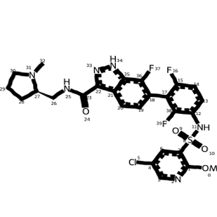 COc1ncc(Cl)cc1S(=O)(=O)Nc1ccc(F)c(-c2ccc3c(C(=O)NC[C@H]4CCCN4C)n[nH]c3c2F)c1F